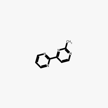 Cc1nccc(-c2ncccn2)n1